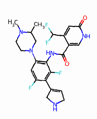 CC1CN(c2cc(F)c(C3=CCNC3)c(F)c2NC(=O)c2c[nH]c(=O)cc2C(F)F)CCN1C